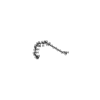 CC(=O)Nc1ccc(OCCOCCOCCOCCOCCOCCNC(=O)CCNC(=O)c2cc(NC(=O)CCNC(=O)c3cc(NC(=O)c4cc(NC(=O)CCNC(=O)c5cc(NC(=O)c6nccn6C)cn5C)cn4C)cn3C)cn2C)cc1